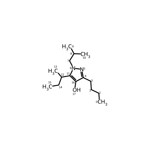 CCCCc1nn(CC(C)C)c(C(C)CC)c1O